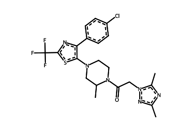 Cc1nc(C)n(CC(=O)N2CCN(c3sc(C(F)(F)F)nc3-c3ccc(Cl)cc3)CC2C)n1